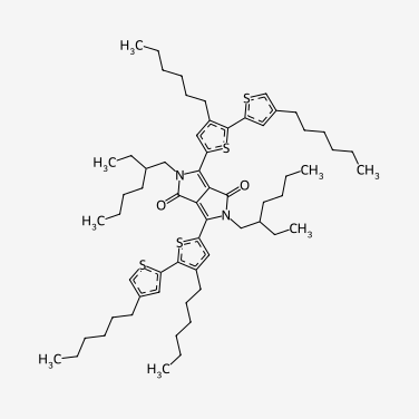 CCCCCCc1csc(-c2sc(C3=C4C(=O)N(CC(CC)CCCC)C(c5cc(CCCCCC)c(-c6cc(CCCCCC)cs6)s5)=C4C(=O)N3CC(CC)CCCC)cc2CCCCCC)c1